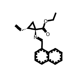 C=C[C@@H]1C[C@]1(N=Cc1cccc2ccccc12)C(=O)OCC